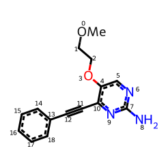 COCCOc1cnc(N)nc1C#Cc1ccccc1